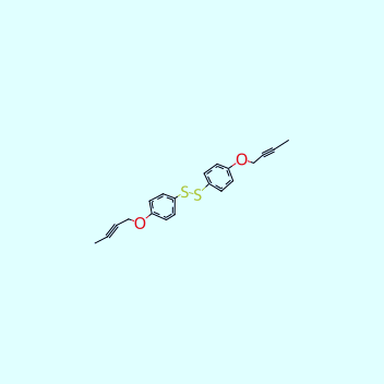 CC#CCOc1ccc(SSc2ccc(OCC#CC)cc2)cc1